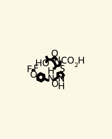 CC(O)C1C(=O)N2C(C(=O)O)=C(SC3CNC(C(=O)NCc4ccc(OC(F)F)cc4)C3)C(C)C12